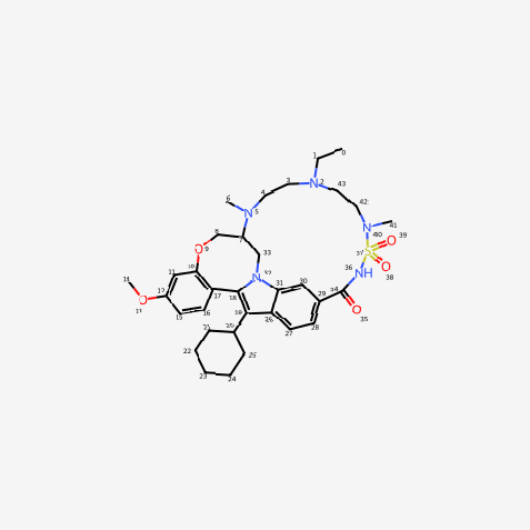 CCN1CCN(C)C2COc3cc(OC)ccc3-c3c(C4CCCCC4)c4ccc(cc4n3C2)C(=O)NS(=O)(=O)N(C)CC1